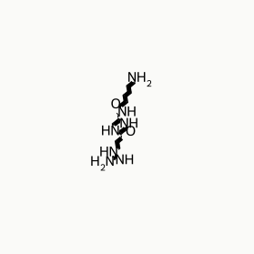 N=C(N)NCCC[C@@H]1NC[C@H](CNC(=O)CCCCCN)NC1=O